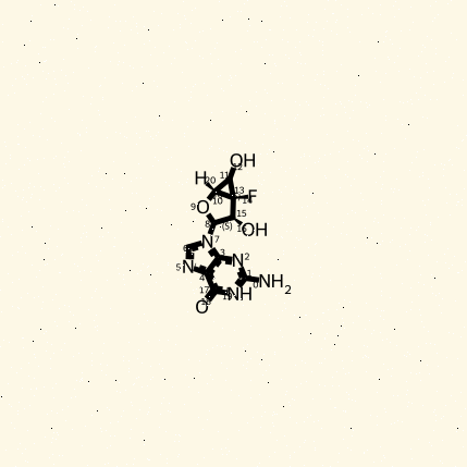 Nc1nc2c(ncn2C2O[C@@H]3C(O)[C@]3(F)[C@H]2O)c(=O)[nH]1